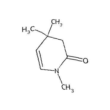 CN1C=CC(C)(C)CC1=O